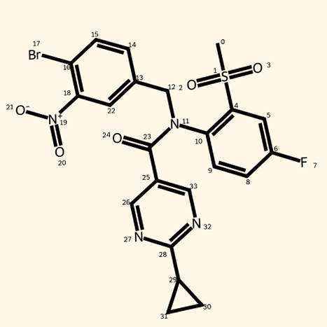 CS(=O)(=O)c1cc(F)ccc1N(Cc1ccc(Br)c([N+](=O)[O-])c1)C(=O)c1cnc(C2CC2)nc1